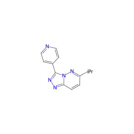 CC(C)c1ccc2nnc(-c3ccncc3)n2n1